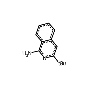 CC(C)(C)c1cc2ccccc2c(N)n1